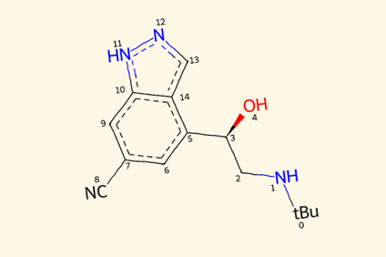 CC(C)(C)NC[C@H](O)c1cc(C#N)cc2[nH]ncc12